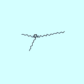 CCCCCCCCCCCCCCCC[n+]1ccn(CCCCCCC)c1CCCCCCCCC